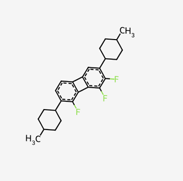 CC1CCC(c2cc3c(c(F)c2F)-c2c-3ccc(C3CCC(C)CC3)c2F)CC1